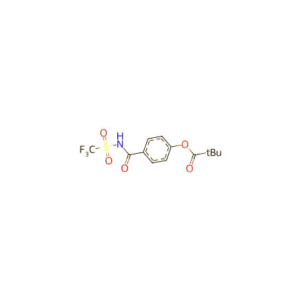 CC(C)(C)C(=O)Oc1ccc(C(=O)NS(=O)(=O)C(F)(F)F)cc1